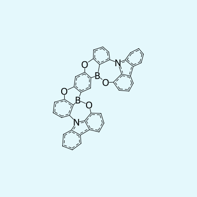 c1cc2c3c(c1)-n1c4ccccc4c4cccc(c41)OB3c1cc3c(cc1O2)Oc1cccc2c1B3Oc1cccc3c4ccccc4n-2c13